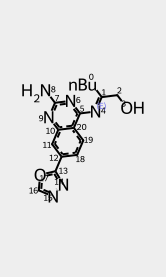 CCCC/C(CO)=N\c1nc(N)nc2cc(-c3nnco3)ccc12